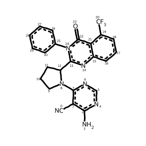 N#Cc1c(N)ncnc1N1CCCC1c1nc2cccc(C(F)(F)F)c2c(=O)n1-c1ccccc1